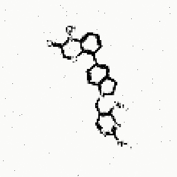 CN1C(=O)COc2c(-c3ccc4c(c3)CCN4Cc3cnc(N)nc3N)cccc21